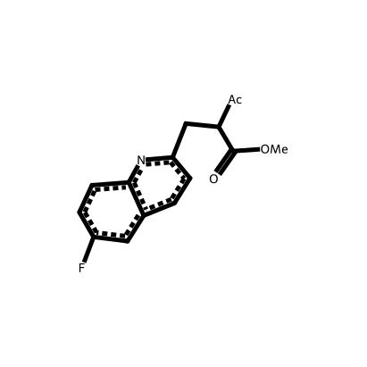 COC(=O)C(Cc1ccc2cc(F)ccc2n1)C(C)=O